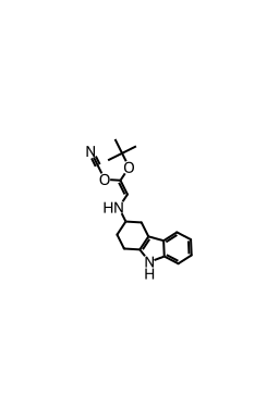 CC(C)(C)OC(=CNC1CCc2[nH]c3ccccc3c2C1)OC#N